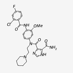 COc1cc(N(CCN2CCCCC2)C(=O)c2nc[nH]c2C(N)=O)ccc1NC(=O)c1ccc(F)cc1Cl